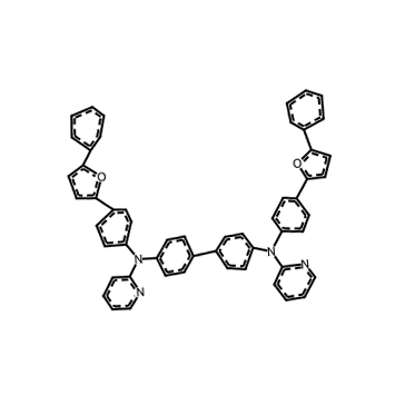 c1ccc(-c2ccc(-c3ccc(N(c4ccc(-c5ccc(N(c6ccc(-c7ccc(-c8ccccc8)o7)cc6)c6ccccn6)cc5)cc4)c4ccccn4)cc3)o2)cc1